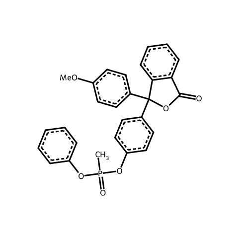 COc1ccc(C2(c3ccc(OP(C)(=O)Oc4ccccc4)cc3)OC(=O)c3ccccc32)cc1